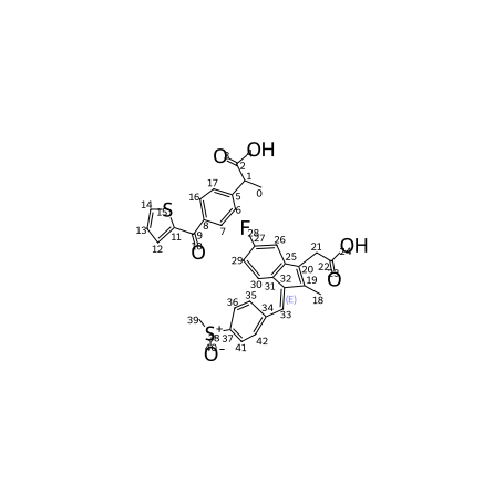 CC(C(=O)O)c1ccc(C(=O)c2cccs2)cc1.CC1=C(CC(=O)O)c2cc(F)ccc2/C1=C\c1ccc([S+](C)[O-])cc1